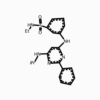 CCNS(=O)(=O)c1cccc(Nc2cc(NC(C)C)nc(-c3ccccc3)n2)c1